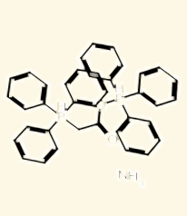 N.O=C(C[PH](c1ccccc1)(c1ccccc1)c1ccccc1)O[PH](c1ccccc1)(c1ccccc1)c1ccccc1